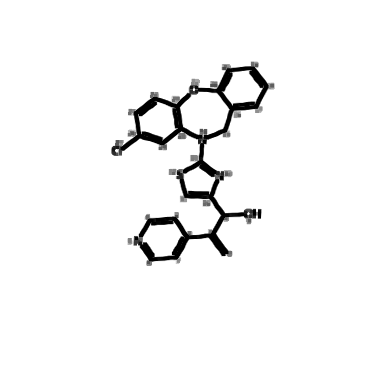 C=C(c1ccncc1)C(O)c1csc(N2Cc3ccccc3Oc3ccc(Cl)cc32)n1